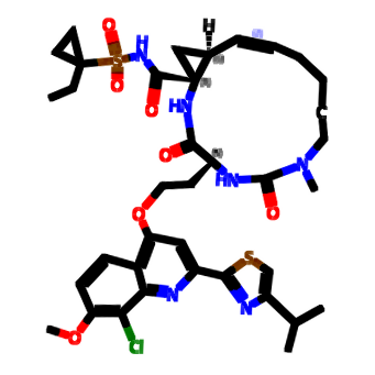 CCC1(S(=O)(=O)NC(=O)[C@@]23C[C@H]2/C=C\CCCCN(C)C(=O)N[C@@H](CCOc2cc(-c4nc(C(C)C)cs4)nc4c(Cl)c(OC)ccc24)C(=O)N3)CC1